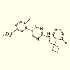 O=C(O)c1ccc(F)c(-c2cnc(NCC3(c4ncccc4F)CCC3)nn2)c1